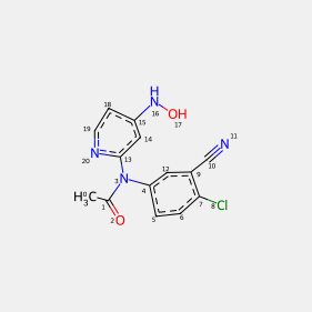 CC(=O)N(c1ccc(Cl)c(C#N)c1)c1cc(NO)ccn1